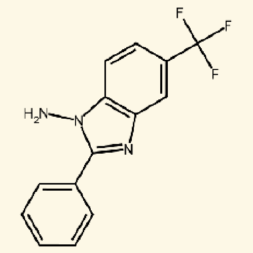 Nn1c(-c2ccccc2)nc2cc(C(F)(F)F)ccc21